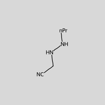 CCCNNCC#N